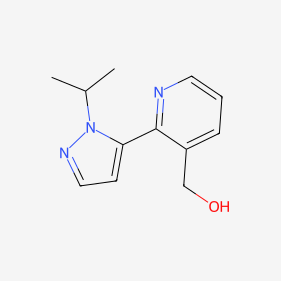 CC(C)n1nccc1-c1ncccc1CO